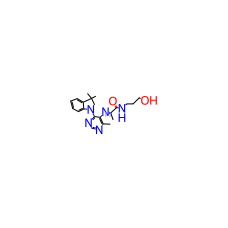 C/C(=N\c1c(C)ncnc1N1CC(C)(C)c2ccccc21)C(=O)NCCCO